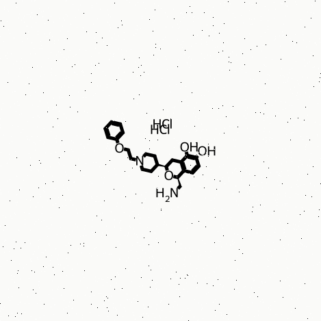 Cl.Cl.NC[C@H]1O[C@@H](C2CCN(CCOc3ccccc3)CC2)Cc2c1ccc(O)c2O